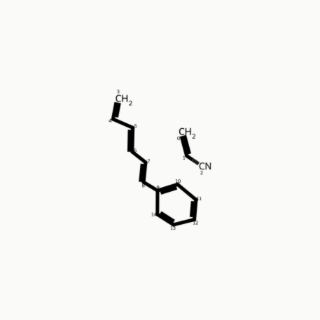 C=CC#N.C=CC=CC=Cc1ccccc1